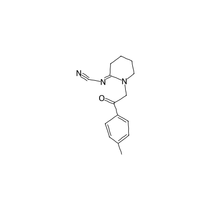 Cc1ccc(C(=O)CN2CCCCC2=NC#N)cc1